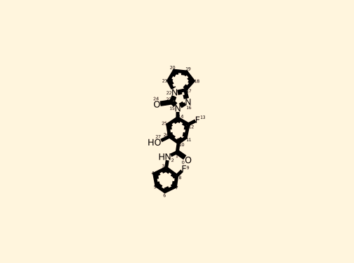 O=C(Nc1ccccc1F)c1cc(F)c(-n2nc3ccccn3c2=O)cc1O